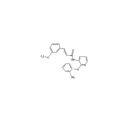 CC(C)(C)c1ccccc1Oc1ncccc1NC(=O)/C=C/c1cccc(OC(F)(F)F)c1